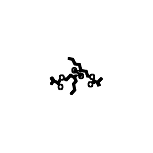 C=C(C)C(=O)OCCC(CCCC)S(=O)(=O)C(CCCC)CCOC(=O)C(=C)C